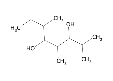 CCC(C)C(O)C(C)C(O)C(C)C